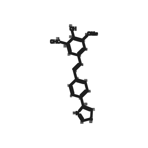 COc1cc(/C=C/c2ccc(-c3cscn3)cc2)cc(C=O)c1O